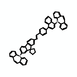 C1=Cc2ccccc2N(c2ccc3c(c2)C2(CCCC2)c2cc(/C=C/c4ccc(-c5ccc(N6c7ccccc7C=Cc7ccccc76)c6ccccc56)cc4)ccc2-3)c2ccccc21